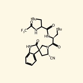 CC(C)(C)CC(NC(=O)C(F)(F)F)C(=O)N[C@@H](CC(C)(C)C)C(=O)N1C[C@]2(C[C@H]1C#N)C(=O)Nc1ccccc12